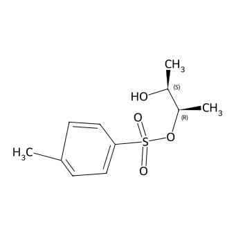 Cc1ccc(S(=O)(=O)O[C@H](C)[C@H](C)O)cc1